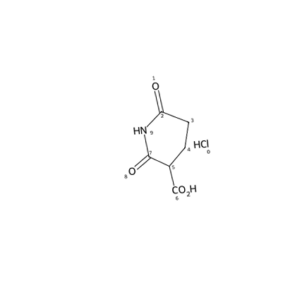 Cl.O=C1CCC(C(=O)O)C(=O)N1